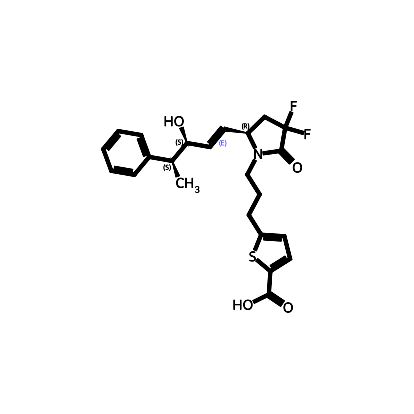 C[C@@H](c1ccccc1)[C@@H](O)/C=C/[C@H]1CC(F)(F)C(=O)N1CCCc1ccc(C(=O)O)s1